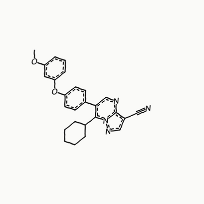 COc1cccc(Oc2ccc(-c3cnc4c(C#N)cnn4c3C3CCCCC3)cc2)c1